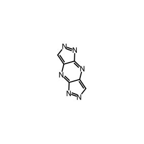 C1=c2nc3c(nc2N=N1)=CN=N3